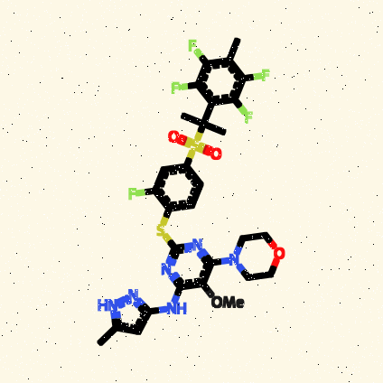 COc1c(Nc2cc(C)[nH]n2)nc(Sc2ccc(S(=O)(=O)C(C)(C)c3c(F)c(F)c(C)c(F)c3F)cc2F)nc1N1CCOCC1